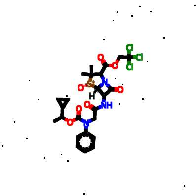 CC(OC(=O)N(CC(=O)NC1C(=O)N2C(C(=O)OCC(Cl)(Cl)Cl)C(C)(C)[S+]([O-])[C@H]12)c1ccccc1)C1CC1